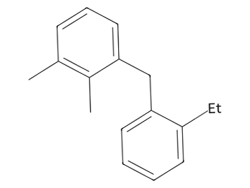 CCc1ccccc1Cc1cccc(C)c1C